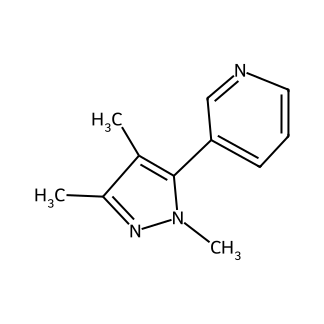 Cc1nn(C)c(-c2cccnc2)c1C